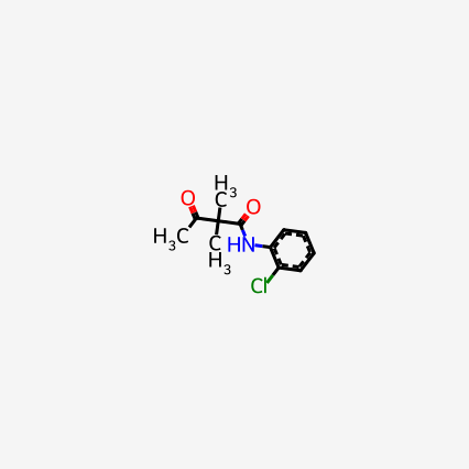 CC(=O)C(C)(C)C(=O)Nc1ccccc1Cl